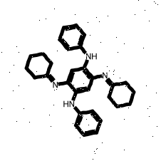 c1ccc(Nc2cc(N=C3CCCCC3)c(Nc3ccccc3)cc2N=C2CCCCC2)cc1